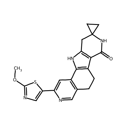 COc1ncc(-c2cc3c(cn2)CCc2c-3[nH]c3c2C(=O)NC2(CC2)C3)s1